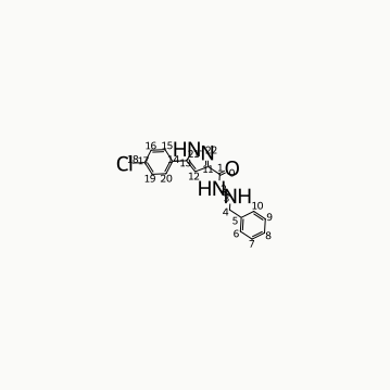 O=C(NNCc1ccccc1)c1cc(-c2ccc(Cl)cc2)[nH]n1